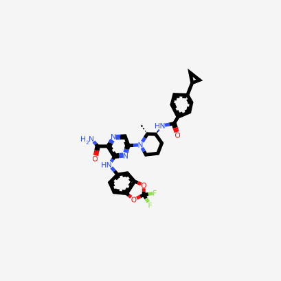 C[C@@H]1[C@H](NC(=O)c2ccc(C3CC3)cc2)CCCN1c1cnc(C(N)=O)c(Nc2ccc3c(c2)OC(F)(F)O3)n1